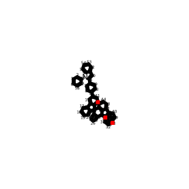 c1ccc(-n2c(-c3ccc(-c4ccc5c(c4)-c4ccccc4C54c5ccccc5C5(c6ccccc6)c6ccccc6-c6cccc4c65)cc3)cc3ccccc32)cc1